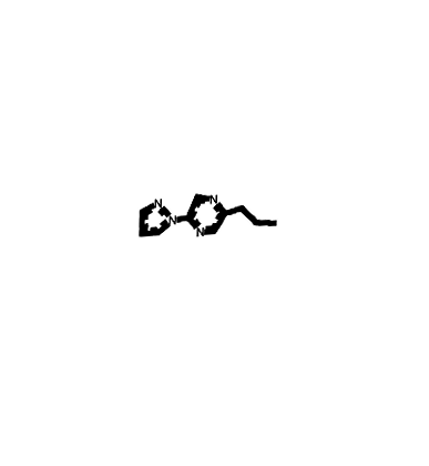 CCCc1cnc(-n2cccn2)cn1